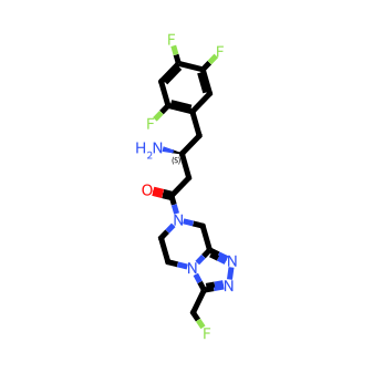 N[C@H](CC(=O)N1CCn2c(CF)nnc2C1)Cc1cc(F)c(F)cc1F